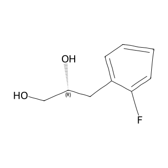 OC[C@H](O)Cc1ccccc1F